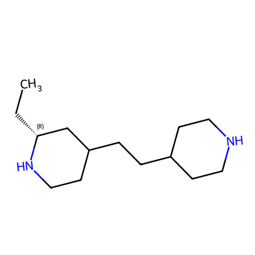 CC[C@@H]1CC(CCC2CCNCC2)CCN1